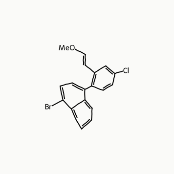 COC=Cc1cc(Cl)ccc1-c1ccc(Br)c2ccccc12